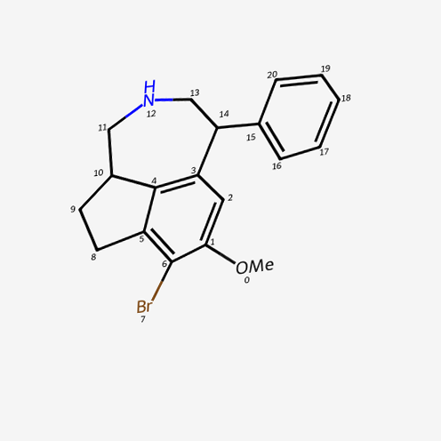 COc1cc2c3c(c1Br)CCC3CNCC2c1ccccc1